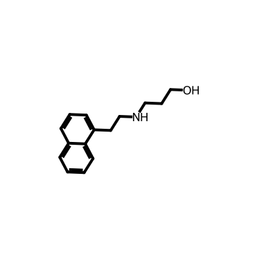 OCCCNCCc1cccc2ccccc12